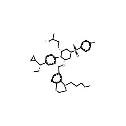 COCCCN1CCOc2ccc(CO[C@H]3CN(S(=O)(=O)c4ccc(C)cc4)C[C@@H](OCC(C)O)[C@@H]3c3ccc([C@H](OC)C4CC4)cc3)cc21